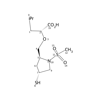 CC(C)C[C@@H](OC[C@@H]1C[C@@H](S)CN1S(C)(=O)=O)C(=O)O